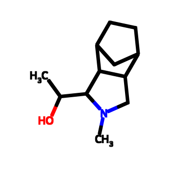 CC(O)C1C2C3CCC(C3)C2CN1C